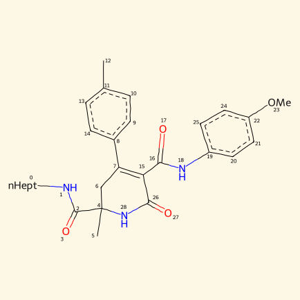 CCCCCCCNC(=O)C1(C)CC(c2ccc(C)cc2)=C(C(=O)Nc2ccc(OC)cc2)C(=O)N1